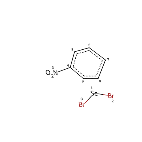 Br[Se]Br.O=[N+]([O-])c1ccccc1